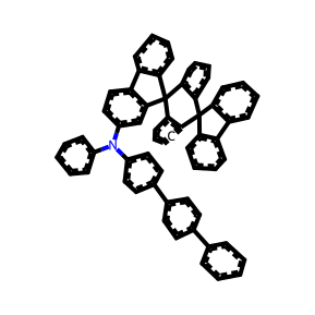 c1ccc(-c2ccc(-c3ccc(N(c4ccccc4)c4ccc5c(c4)C4(c6ccccc6-5)c5ccccc5C5(c6ccccc6-c6ccccc65)c5ccccc54)cc3)cc2)cc1